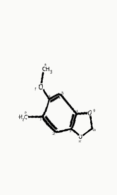 [CH2]c1cc2c(cc1OC)OCO2